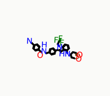 N#Cc1ccc(C(=O)NCc2ccc(-c3cc4c(NC5CCS(=O)(=O)CC5)cccc4n3CC(F)(F)F)cc2)cc1